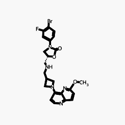 COc1ccc2nccc(N3CC(CNC[C@@H]4CN(c5ccc(Br)c(F)c5)C(=O)O4)C3)c2n1